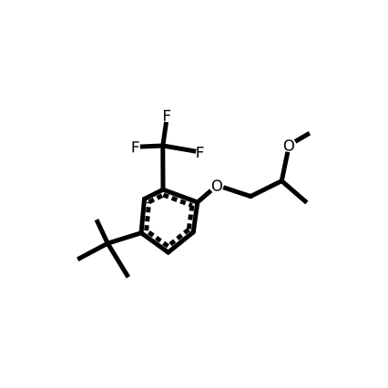 COC(C)COc1ccc(C(C)(C)C)cc1C(F)(F)F